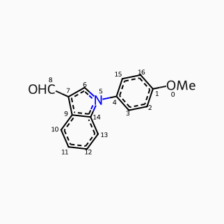 COc1ccc(-n2cc(C=O)c3ccccc32)cc1